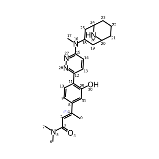 C/C(=C\C(=O)N(C)C)c1ccc(-c2ccc(N(C)C3CC4CCCC(C3)N4)nn2)c(O)c1